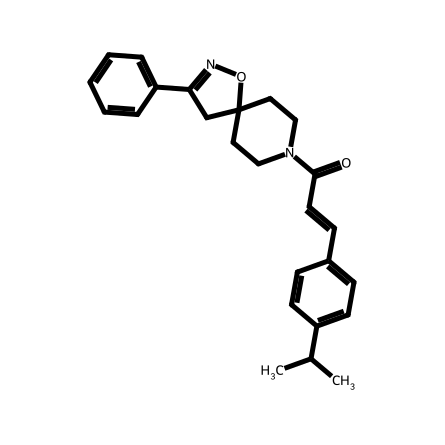 CC(C)c1ccc(C=CC(=O)N2CCC3(CC2)CC(c2ccccc2)=NO3)cc1